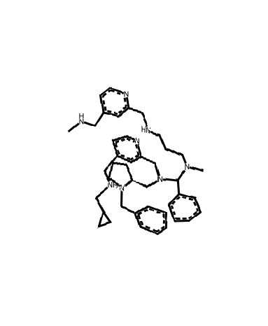 CNCc1ccnc(CNCCCN(C)C(c2ccccc2)N(Cc2cc(CNCC3CC3)ccn2)C[C@@H]2CCCN2Cc2ccccc2)c1